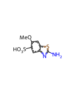 COc1cc2sc(N)nc2cc1S(=O)(=O)O